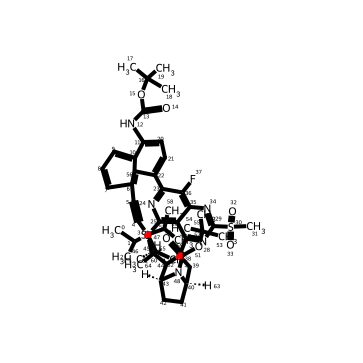 CC(C)[Si](C#Cc1cccc2c(NC(=O)OC(C)(C)C)ccc(-c3nc4c5c(nc(S(C)(=O)=O)nc5c3F)N3C[C@H]5CC[C@@H]([C@H]3[C@H](C)O4)N5C(=O)OC(C)(C)C)c12)(C(C)C)C(C)C